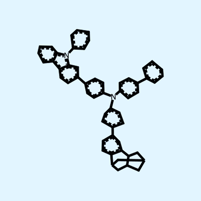 c1ccc(-c2ccc(N(c3ccc(-c4ccc5c(c4)C4CC6CC5CC4C6)cc3)c3ccc(-c4ccc5c6ccccc6n(-c6ccccc6)c5c4)cc3)cc2)cc1